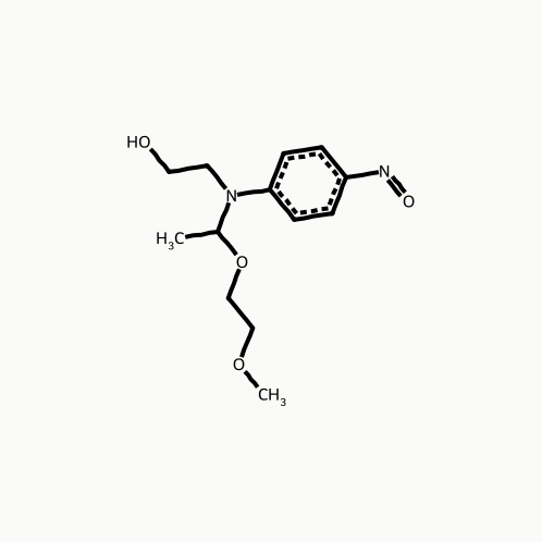 COCCOC(C)N(CCO)c1ccc(N=O)cc1